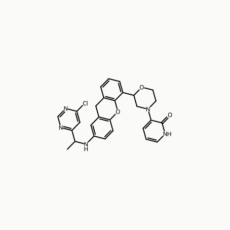 CC(Nc1ccc2c(c1)Cc1cccc(C3CN(c4ccc[nH]c4=O)CCO3)c1O2)c1cc(Cl)ncn1